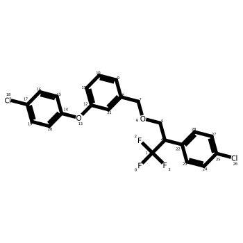 FC(F)(F)C(COCc1cccc(Oc2ccc(Cl)cc2)c1)c1ccc(Cl)cc1